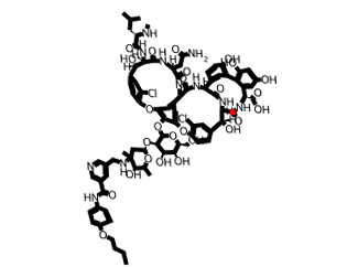 CCCCOc1ccc(NC(=O)c2cncc(CNC3(C)C[C@H](O[C@H]4C(Oc5c6cc7cc5Oc5ccc(cc5Cl)[C@@H](O)[C@H]5NC(=O)[C@@H](NC(=O)C7NC(=O)[C@H](CC(N)=O)NC(=O)[C@H](NC(=O)[C@H](CC(C)C)NC)[C@H](O)c7ccc(c(Cl)c7)O6)c6ccc(O)c(c6)-c6c(O)cc(O)cc6[C@H](C(=O)O)NC5=O)O[C@@H](CO)[C@@H](O)[C@H]4O)OC(C)[C@@H]3O)c2)cc1